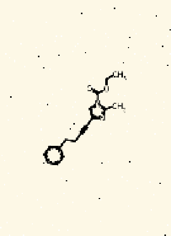 CCOC(=O)n1cc(C#CCCc2ccccc2)nc1C